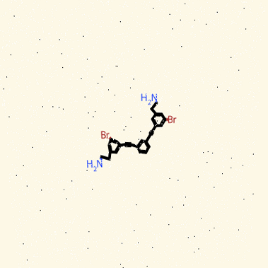 NCCc1cc(Br)cc(C#Cc2cccc(C#Cc3cc(Br)cc(CCN)c3)c2)c1